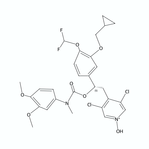 COc1ccc(N(C)C(=O)O[C@@H](Cc2c(Cl)c[n+](O)cc2Cl)c2ccc(OC(F)F)c(OCC3CC3)c2)cc1OC